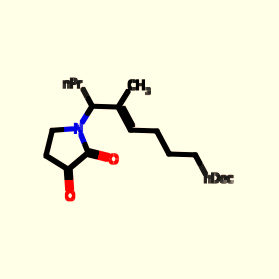 CCCCCCCCCCCCCC=C(C)C(CCC)N1CCC(=O)C1=O